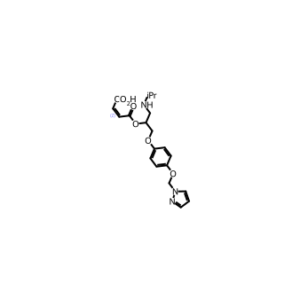 CC(C)NCC(COc1ccc(OCn2cccn2)cc1)OC(=O)/C=C\C(=O)O